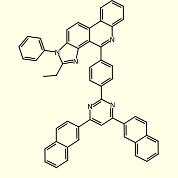 CCc1nc2c3c(-c4ccc(-c5nc(-c6ccc7ccccc7c6)cc(-c6ccc7ccccc7c6)n5)cc4)nc4ccccc4c3ccc2n1-c1ccccc1